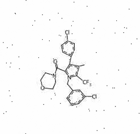 Cc1c(-c2ccc(Cl)cc2)c(C(=O)N2CCOCC2)n(Cc2cccc(Cl)c2)c1C(F)(F)F